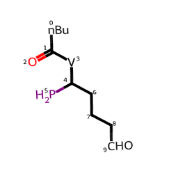 CCCC[C](=O)[V][CH](P)CCCC=O